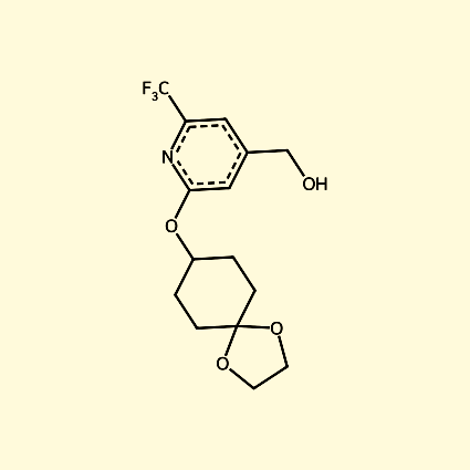 OCc1cc(OC2CCC3(CC2)OCCO3)nc(C(F)(F)F)c1